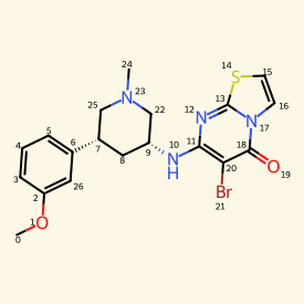 COc1cccc([C@H]2C[C@@H](Nc3nc4sccn4c(=O)c3Br)CN(C)C2)c1